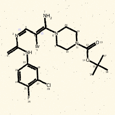 C=C(/N=C\C(Br)=C(/N)N1CCN(C(=O)OC(C)(C)C)CC1)Nc1ccc(F)c(Cl)c1